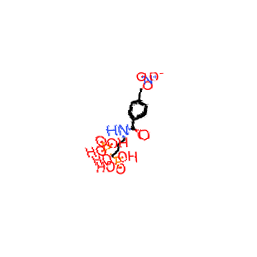 O=C(NCCCC(O)(P(=O)(O)O)P(=O)(O)O)c1ccc(CO[N+](=O)[O-])cc1